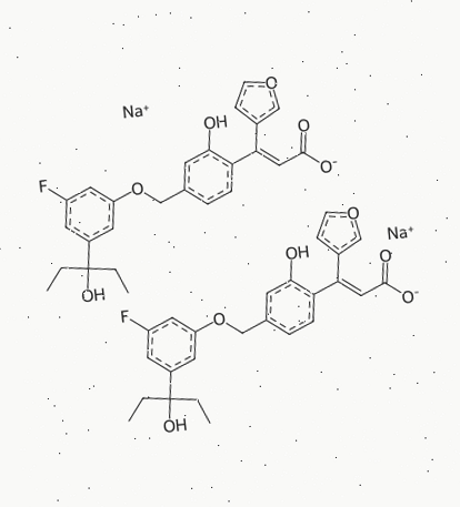 CCC(O)(CC)c1cc(F)cc(OCc2ccc(C(=CC(=O)[O-])c3ccoc3)c(O)c2)c1.CCC(O)(CC)c1cc(F)cc(OCc2ccc(C(=CC(=O)[O-])c3ccoc3)c(O)c2)c1.[Na+].[Na+]